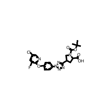 CC(C)(C)OC(=O)N1CC(c2nnn(-c3ccc(Oc4ncc(Cl)cc4F)cc3)n2)CC1C(=O)O